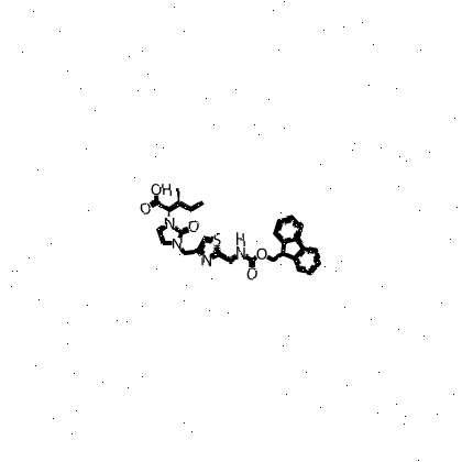 CC[C@H](C)[C@@H](C(=O)O)N1CCN(Cc2csc(CNC(=O)OCC3c4ccccc4-c4ccccc43)n2)C1=O